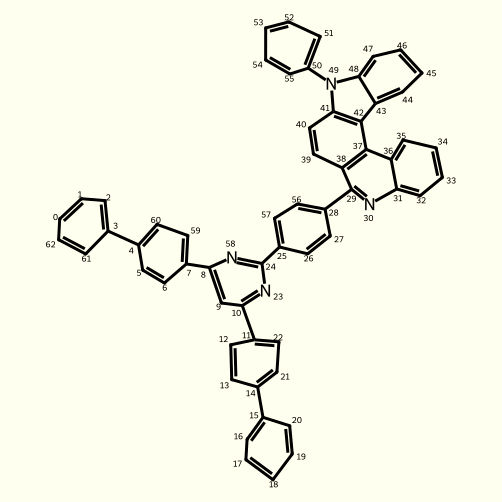 c1ccc(-c2ccc(-c3cc(-c4ccc(-c5ccccc5)cc4)nc(-c4ccc(-c5nc6ccccc6c6c5ccc5c6c6ccccc6n5-c5ccccc5)cc4)n3)cc2)cc1